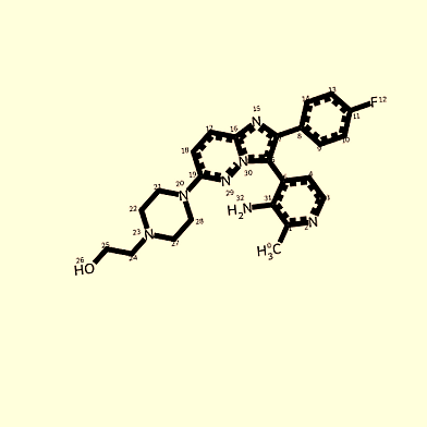 Cc1nccc(-c2c(-c3ccc(F)cc3)nc3ccc(N4CCN(CCO)CC4)nn23)c1N